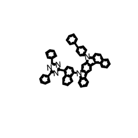 c1ccc(-c2ccc(-n3c4cc5c(cc4c4c6ccccc6ccc43)c3ccccc3n5-c3ccc(-c4nc(-c5ccccc5)nc(-c5ccccc5)n4)c4ccccc34)cc2)cc1